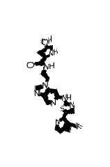 O=C(NCCn1cnc2cnc(Nc3ncc(-c4ncccc4F)s3)cc21)C1CC(O)CN1